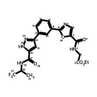 CCOC(=O)CNC(=O)c1cnc(-c2cccc(-c3cc(C(=O)NC(C)C(F)(F)F)[nH]n3)c2)o1